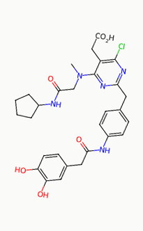 CN(CC(=O)NC1CCCC1)c1nc(Cc2ccc(NC(=O)Cc3ccc(O)c(O)c3)cc2)nc(Cl)c1CC(=O)O